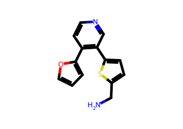 NCc1ccc(-c2cnccc2-c2ccco2)s1